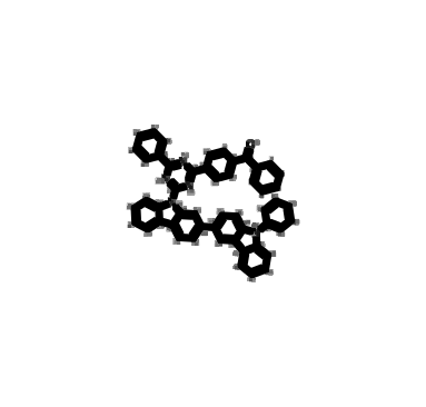 O=C(c1ccccc1)c1ccc(-c2nc(-c3ccccc3)nc(-n3c4ccccc4c4ccc(-c5ccc6c(c5)c5ccccc5n6-c5ccccc5)cc43)n2)cc1